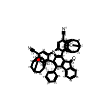 N#Cc1cc2c(c3c1C1CC4CC(C1)CC3C4)c1c3c(c(-c4ccccc4)c4c5c6c(c(C#N)cc5n2c14)C1CC2CC(C1)CC6C2)-c1ccccc1C3=O